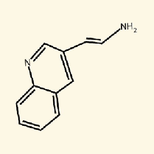 NC=Cc1cnc2ccccc2c1